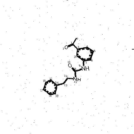 CC(=O)c1cccc(NC(=O)NCCc2ccccc2)c1